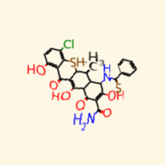 CC1C2[SH]c3c(Cl)ccc(O)c3C(=O)C2=C(O)C2C(=O)C(C(N)=O)=C(O)C(NC(=S)c3ccccc3)C21